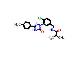 Cc1ccc(-c2nn(-c3cc(CNC(=O)C(C)C)ccc3Cl)c(=O)[nH]2)cc1